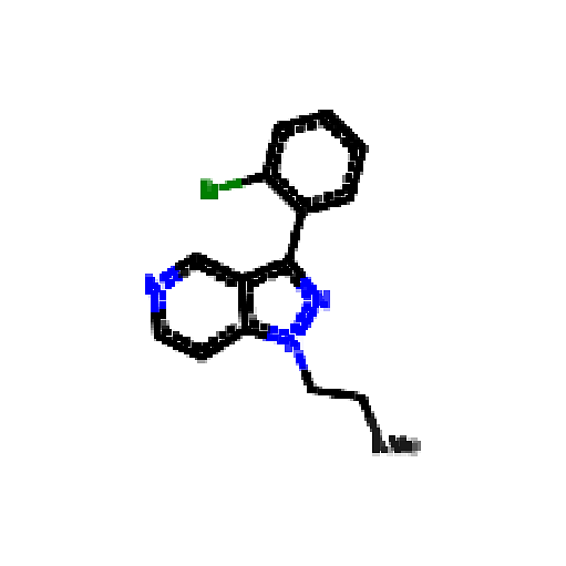 CNCCn1nc(-c2ccccc2Br)c2cnccc21